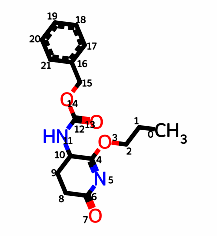 CCCOC1=NC(=O)CCC1NC(=O)OCc1ccccc1